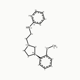 COc1ccccc1[C@H]1CCN(CCNc2ccccn2)C1